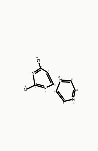 Clc1ccnc(Cl)n1.c1cnccn1